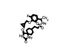 C[C@@H](NS(=O)(=O)CCC1CCC2(CC1)NC(=O)NC2=O)c1ccc(F)c(OCC2CC2)c1